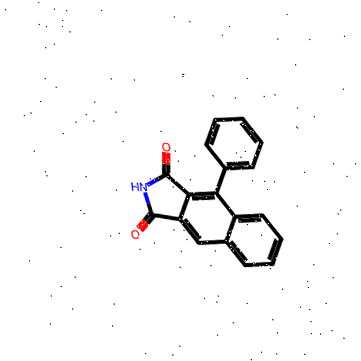 O=C1NC(=O)c2c1cc1ccccc1c2-c1ccccc1